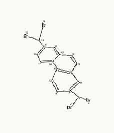 BrC(Br)c1ccc2c(ccc3cc(C(Br)Br)ccc32)c1